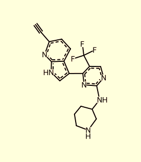 C#Cc1ccc2c(-c3nc(NC4CCCNC4)ncc3C(F)(F)F)c[nH]c2n1